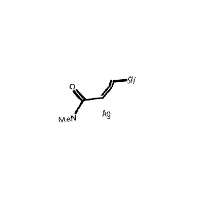 CNC(=O)C=CS.[Ag]